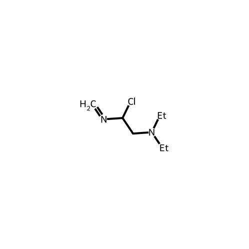 C=NC(Cl)CN(CC)CC